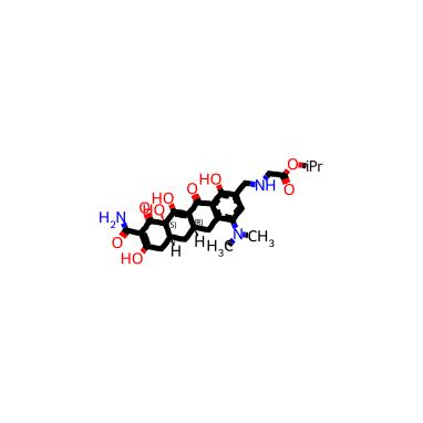 CC(C)OC(=O)CNCc1cc(N(C)C)c2c(c1O)C(=O)C1=C(O)[C@]3(O)C(=O)C(C(N)=O)=C(O)C[C@@H]3C[C@@H]1C2